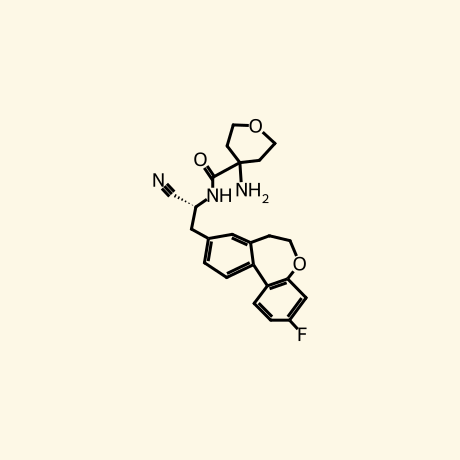 N#C[C@@H](Cc1ccc2c(c1)CCOc1cc(F)ccc1-2)NC(=O)C1(N)CCOCC1